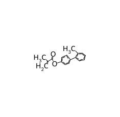 C=C(C)C(=O)Oc1ccc(-c2ccccc2C)cc1